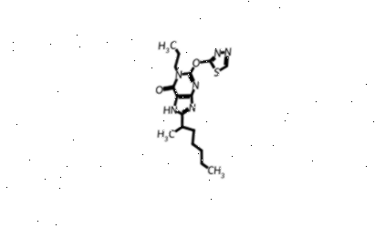 CCCCCC(C)c1nc2nc(Oc3nncs3)n(CCC)c(=O)c2[nH]1